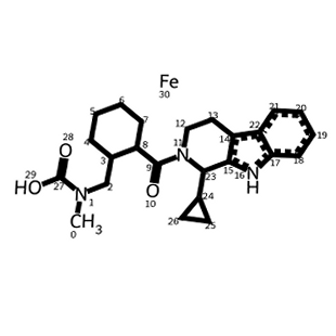 CN(CC1CCCCC1C(=O)N1CCc2c([nH]c3ccccc23)C1C1CC1)C(=O)O.[Fe]